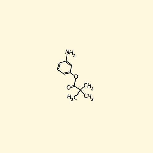 CC(C)(C)C(=O)Oc1cccc(N)c1